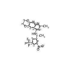 Cc1nc(N[C@H](C)c2cc([N+](=O)[O-])cc(C(F)(F)F)c2)c2cc3c(nc2n1)OCCO3